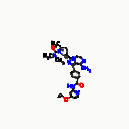 C[C@H]1CC[C@@H](c2nc(-c3ccc(C(=O)Nc4cc(OC5CC5)ccn4)cc3)c3c(N)nccn23)CN1C(=O)N(C)C